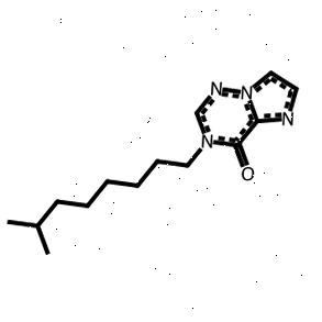 CC(C)CCCCCCn1cnn2ccnc2c1=O